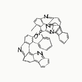 Cc1ccc2c(c1-c1ccccc1P(=O)(c1ccccn1)c1c(C)ccc3c1-c1c4c(ccc1=N3)=c1ccccc1=N4)-c1c3c(ccc1=N2)=c1ccccc1=N3